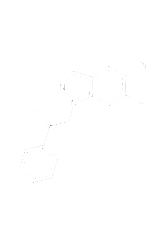 O=C(Cn1ncc2cc(Br)c(I)cc21)c1ccccc1